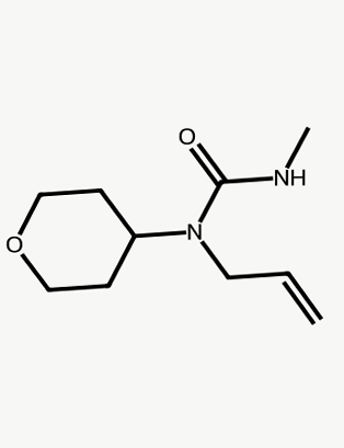 C=CCN(C(=O)NC)C1CCOCC1